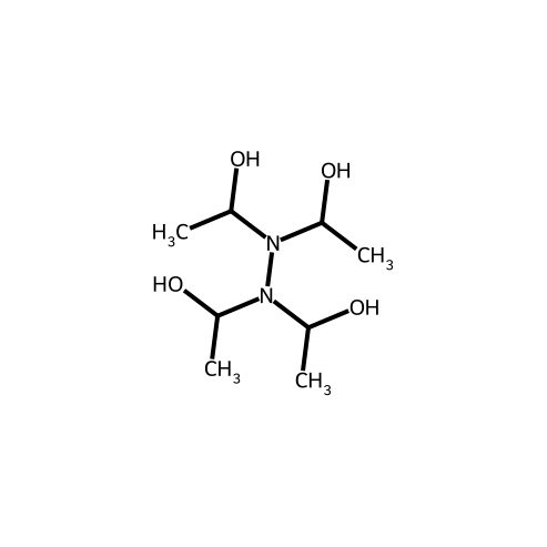 CC(O)N(C(C)O)N(C(C)O)C(C)O